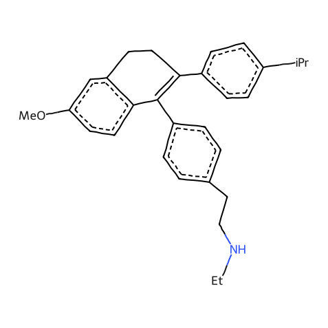 CCNCCc1ccc(C2=C(c3ccc(C(C)C)cc3)CCc3cc(OC)ccc32)cc1